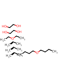 C=CC.C=CC.C=CC.CCCCOCCCC.CCOCC.OCCO.OCCO